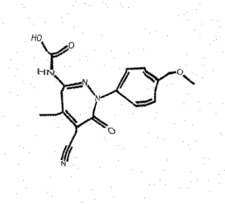 COc1ccc(-n2nc(NC(=O)O)c(C)c(C#N)c2=O)cc1